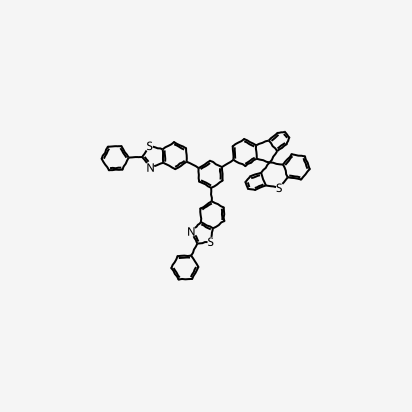 c1ccc(-c2nc3cc(-c4cc(-c5ccc6c(c5)C5(c7ccccc7Sc7ccccc75)c5ccccc5-6)cc(-c5ccc6sc(-c7ccccc7)nc6c5)c4)ccc3s2)cc1